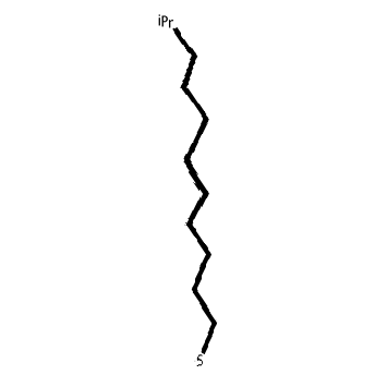 CC(C)CCCCCCCCC[S]